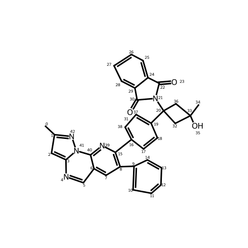 Cc1cc2ncc3cc(-c4ccccc4)c(-c4ccc(C5(N6C(=O)c7ccccc7C6=O)CC(C)(O)C5)cc4)nc3n2n1